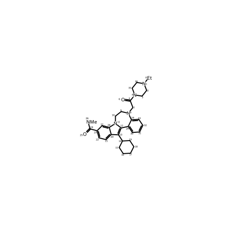 CCN1CCN(C(=O)CN2CCn3c(c(C4CCCCC4)c4ccc(C(=O)NC)cc43)-c3ccccc32)CC1